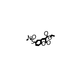 CCOC(=O)c1cc2cc(SC(=O)N(C)C)ccc2oc1=O